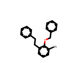 CC(C)c1cccc(CCc2ccccc2)c1OCc1ccccc1